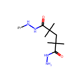 CC(C)NNC(=O)C(C)(C)CC(C)(C)C(=O)NN